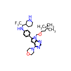 C[Si](C)(C)CCOCn1c(-c2ccc(N[C@@H](C3CCCNC3)C(F)(F)F)cc2)cc2c(N3CCOCC3)ncnc21